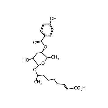 CC1O[C@@H](O[C@H](C)CCCC/C=C/C(=O)O)[C@@H](O)C[C@H]1OC(=O)c1ccc(O)cc1